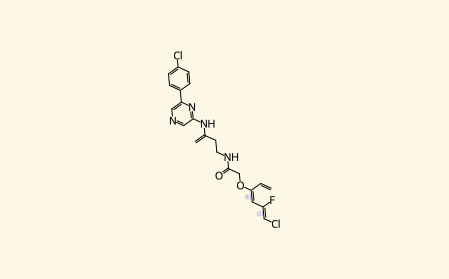 C=C/C(=C\C(F)=C\Cl)OCC(=O)NCCC(=C)Nc1cncc(-c2ccc(Cl)cc2)n1